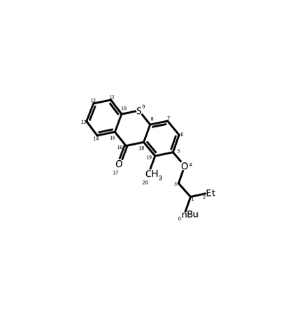 CCCCC(CC)COc1ccc2sc3ccccc3c(=O)c2c1C